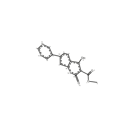 COC(=O)c1c(O)c2ccc(-c3cncnc3)cc2sc1=O